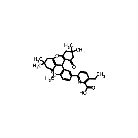 CCc1ccc(-c2ccc(OC)c(C3C4=C(CC(C)(C)CC4=O)OC4=C3C(=O)CC(C)(C)C4)c2)nc1C(=O)O